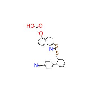 N#Cc1ccc(-c2ccccc2CSc2nc3c(s2)CCc2c(OCC(=O)O)cccc2-3)cc1